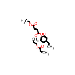 C=CC(=O)OCCC.C=Cc1ccccc1.CCOC(=O)C=CC(=O)O